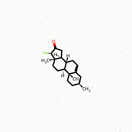 C[C@H]1CC[C@@]2(C)C(=CC[C@H]3[C@@H]4CC(=O)[C@H](F)[C@@]4(C)CC[C@@H]32)C1